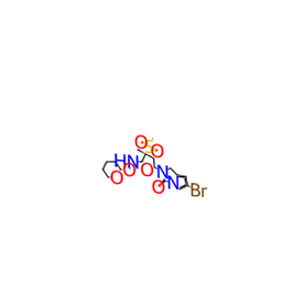 C[C@@](CCN1Cc2cc(Br)cn2C1=O)(C(=O)NO[C@H]1CCCCO1)S(C)(=O)=O